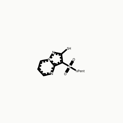 CCCCCS(=O)(=O)c1c(S)nn2cccnc12